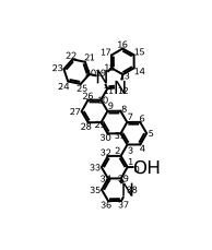 Oc1c(-c2cccc3cc4c(-c5nc6ccccc6n5-c5ccccc5)cccc4cc23)ccc2cccnc12